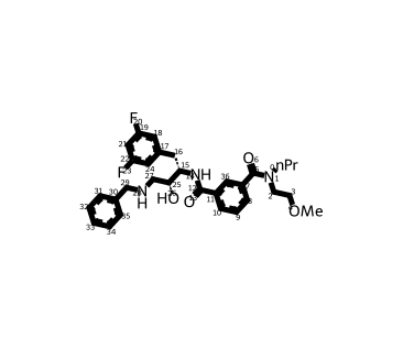 CCCN(CCOC)C(=O)c1cccc(C(=O)N[C@@H](Cc2cc(F)cc(F)c2)[C@H](O)CNCc2ccccc2)c1